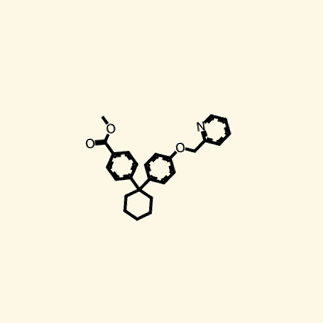 COC(=O)c1ccc(C2(c3ccc(OCc4ccccn4)cc3)CCCCC2)cc1